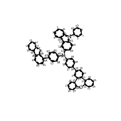 c1ccc(-n2c3ccccc3c3cc(N(c4ccc(-c5ccc6c(c5)-c5ccccc5Oc5ccccc5-6)cc4)c4ccc(-c5cccc6c5sc5ccccc56)cc4)ccc32)cc1